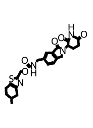 CC1CCc2sc(COC(=O)NCc3ccc4c(c3)C(=O)N(C3CCC(=O)NC3=O)C4)nc2C1